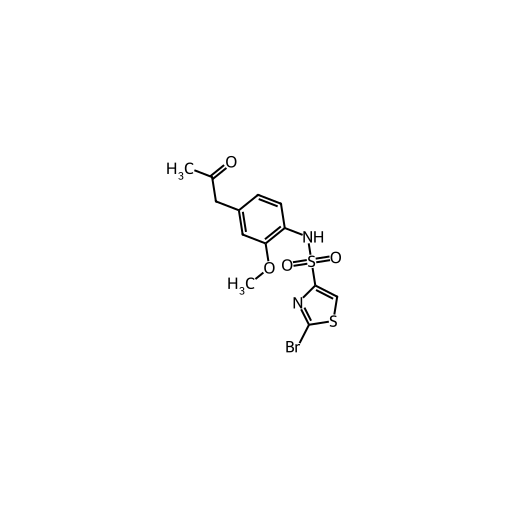 COc1cc(CC(C)=O)ccc1NS(=O)(=O)c1csc(Br)n1